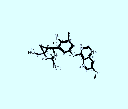 COc1cnc2c(Nc3cc(F)c(F)c([C@@]4(C)N=C(N)S[C@]5(CO)C[C@H]54)c3)ncnc2c1